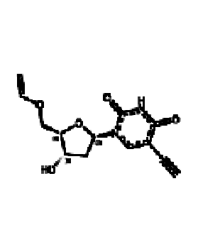 C#Cc1cn([C@H]2C[C@H](O)[C@@H](COC=C)O2)c(=O)[nH]c1=O